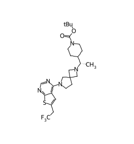 C[C@@H](C1CCN(C(=O)OC(C)(C)C)CC1)N1CC2(CCN(c3ncnc4sc(CC(F)(F)F)cc34)C2)C1